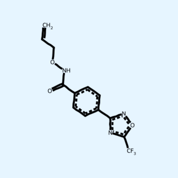 C=CCONC(=O)c1ccc(-c2noc(C(F)(F)F)n2)cc1